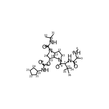 CNC(C)C(=O)NC(C(=O)N1CCC2C1C(OC(=O)NC1CCCC1)CN2C(=O)NC(C)C)C(C)(C)C